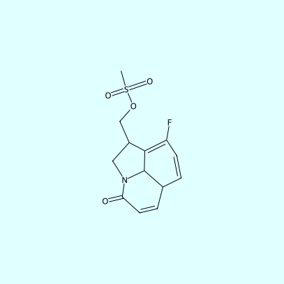 CS(=O)(=O)OCC1CN2C(=O)C=CC3C=CC(F)=C1C32